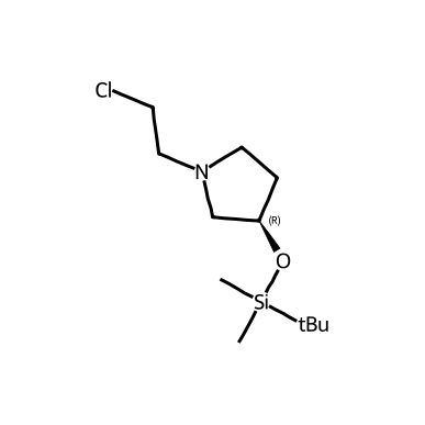 CC(C)(C)[Si](C)(C)O[C@@H]1CCN(CCCl)C1